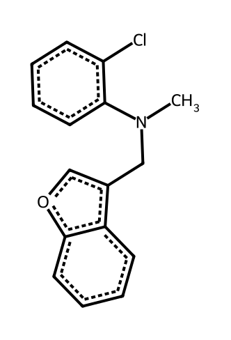 CN(Cc1coc2ccccc12)c1ccccc1Cl